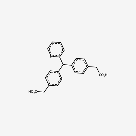 O=C(O)Cc1ccc(C(c2ccc(CC(=O)O)cc2)c2ccccn2)cc1